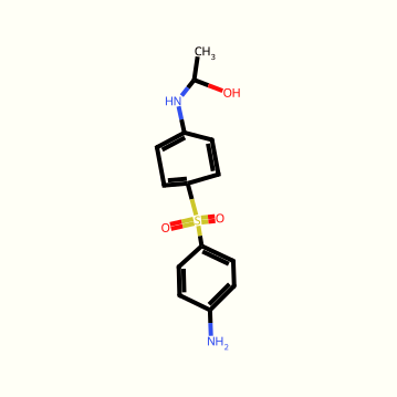 CC(O)Nc1ccc(S(=O)(=O)c2ccc(N)cc2)cc1